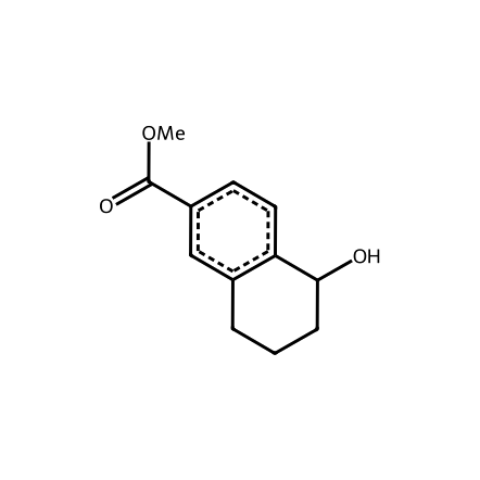 COC(=O)c1ccc2c(c1)CCCC2O